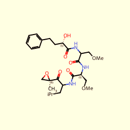 COCC(NC(=O)[C@@H](O)CCc1ccccc1)C(=O)N[C@@H](COC)C(=O)NC(CC(C)C)C(=O)[C@@]1(C)CO1